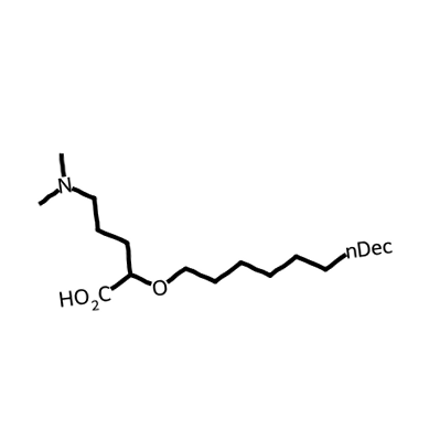 CCCCCCCCCCCCCCCCOC(CCCN(C)C)C(=O)O